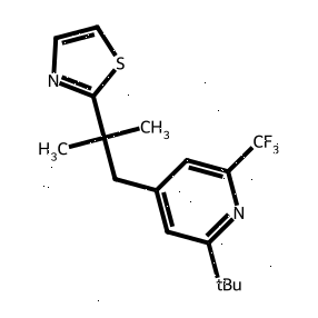 CC(C)(C)c1cc(CC(C)(C)c2nccs2)cc(C(F)(F)F)n1